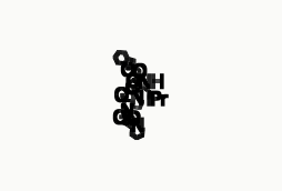 CC(C)CC(NC(=O)Oc1cc2ccccc2o1)C(=O)N1CCC2C1C(=O)CN2S(=O)(=O)Cc1ccccn1